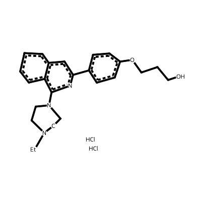 CCN1CCN(c2nc(-c3ccc(OCCCO)cc3)cc3ccccc23)CC1.Cl.Cl